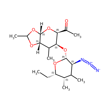 CC[C@@H]1O[C@H](O[C@H]2C(C)[C@@H]3OC(C)O[C@@H]3O[C@H]2C(C)=O)[C@@H](N=[N+]=[N-])C(C)[C@@H]1C